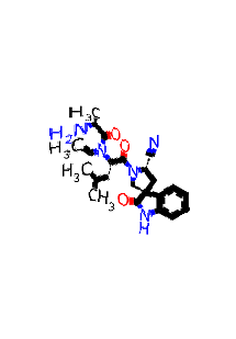 CCN(C(=O)[C@H](C)N)[C@@H](CC(C)C)C(=O)N1C[C@]2(C[C@H]1C#N)C(=O)Nc1ccccc12